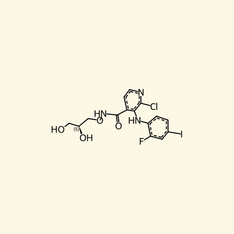 O=C(NOC[C@@H](O)CO)c1ccnc(Cl)c1Nc1ccc(I)cc1F